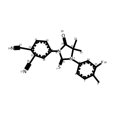 Cc1ccc(N2C(=S)N(c3ccc(C#N)c(C#N)c3)C(=O)C2(C)C)cc1F